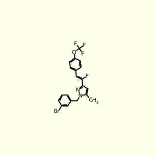 Cc1cc(/C(F)=C/c2ccc(OC(F)(F)F)cc2)nn1Cc1cccc(Br)c1